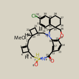 CO[C@H]1C2=CC[C@@H]2C/[SH](=O)=N\C(=O)c2ccc3c(c2)N(C[C@@H]2CC[C@H]21)C[C@@]1(CCCc2cc(Cl)ccc21)CO3